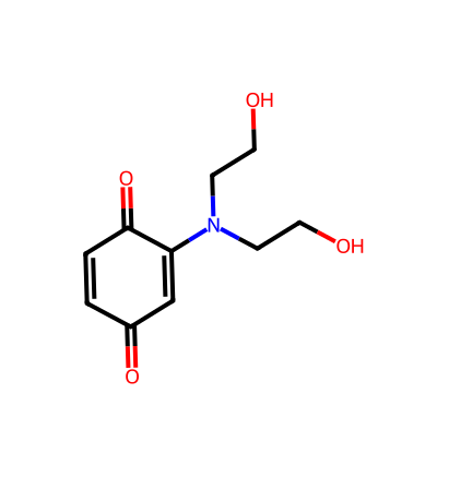 O=C1C=CC(=O)C(N(CCO)CCO)=C1